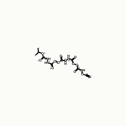 CC(C)OC(=O)NNC(=O)OOC(=O)NNC(=O)OOC(=O)NOC#N